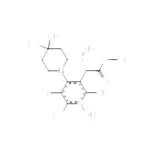 Cc1c(Br)c(N2CCC(C)(C)CC2)c([C@H](OC(C)(C)C)C(=O)OC(C)C)c(C)[n+]1O